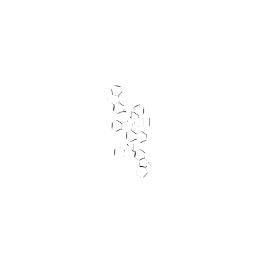 CC1c2c(cc(N(c3ccc4sc5c(c4c3)CCC=C5)C3CC=CCC3)c3ccccc23)-c2ccccc2C1N(c1ccccc1)c1ccc2sc3ccccc3c2c1